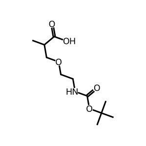 CC(COCCNC(=O)OC(C)(C)C)C(=O)O